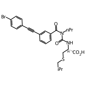 CCCN(C(=O)N[C@@H](CSCC(C)C)C(=O)O)C(=O)c1cccc(C#Cc2ccc(Br)cc2)c1